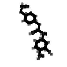 COCc1ccc(CC(=O)Nc2ccc(C(C)(C)C)c(F)c2)cc1